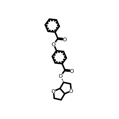 O=C(Oc1ccc(C(=O)O[C@@H]2COC3CCOC32)cc1)c1ccccc1